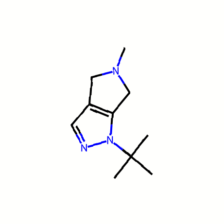 CN1Cc2cnn(C(C)(C)C)c2C1